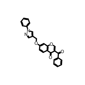 O=C(c1ccccc1)c1coc2cc(OCc3cnn(-c4ccccc4)c3)ccc2c1=O